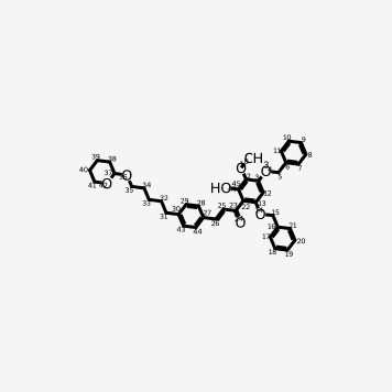 COc1c(OCc2ccccc2)cc(OCc2ccccc2)c(C(=O)/C=C/c2ccc(CCCCCOC3CCCCO3)cc2)c1O